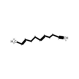 C#CCCC=CCCC=CC